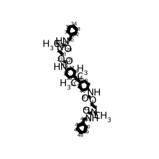 CN(CCOC(=O)NC1CCC(C(C)(C)C2CCC(NC(=O)OCCN(C)C(=O)NCc3ccccc3)CC2)CC1)C(=O)NCc1ccccc1